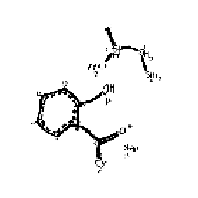 C[SiH](O)[SiH2][SiH3].O=C([O-])c1ccccc1O.[Na+]